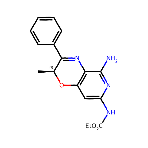 CCOC(=O)Nc1cc2c(c(N)n1)N=C(c1ccccc1)[C@H](C)O2